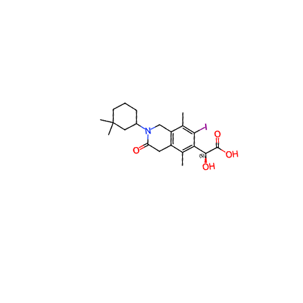 Cc1c(I)c([C@H](O)C(=O)O)c(C)c2c1CN(C1CCCC(C)(C)C1)C(=O)C2